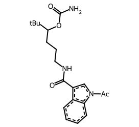 CC(=O)n1cc(C(=O)NCCCC(OC(N)=O)C(C)(C)C)c2ccccc21